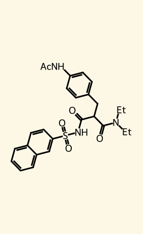 CCN(CC)C(=O)C(Cc1ccc(NC(C)=O)cc1)C(=O)NS(=O)(=O)c1ccc2ccccc2c1